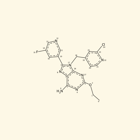 CCOc1nc(N)c2nc(-c3cncc(F)c3)n(Cc3ccnc(Cl)c3)c2n1